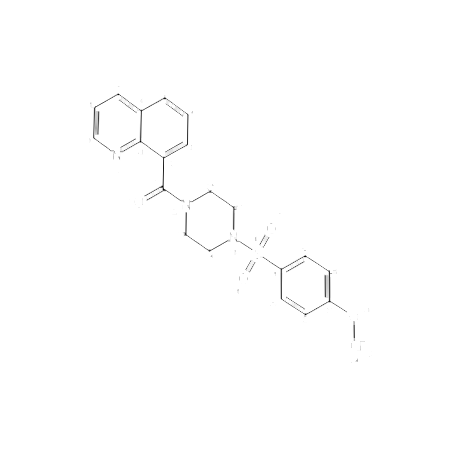 O=C(c1cccc2cccnc12)N1CCN(S(=O)(=O)c2ccc(OC(F)(F)F)cc2)CC1